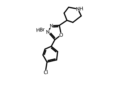 Br.Clc1ccc(-c2nnc(C3CCNCC3)o2)cc1